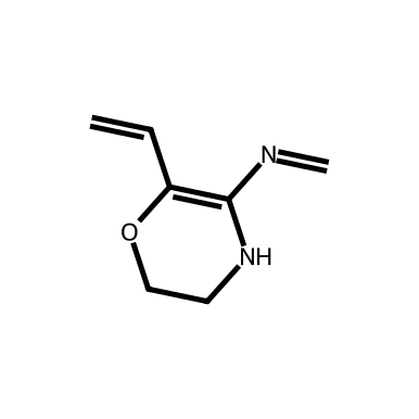 C=CC1=C(N=C)NCCO1